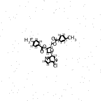 Cc1ccc(C(=O)OC[C@H]2O[C@@H](C3C=NC(Cl)=C4C=CN=C43)C[C@@H]2OC(=O)c2ccc(C)cc2)cc1